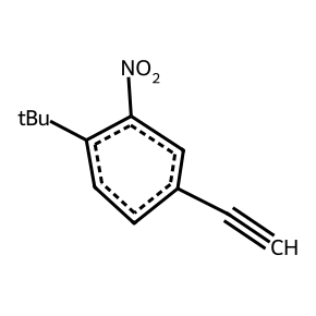 C#Cc1ccc(C(C)(C)C)c([N+](=O)[O-])c1